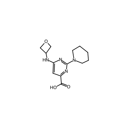 O=C(O)c1cc(NC2COC2)nc(N2CCCCC2)n1